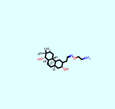 CCC[C@@]1(C)CC[C@H]2[C@@H](CC[C@@H]3C[C@@H](O)C(C/C=N\OCCN)C[C@@]32C)[C@@H]1O